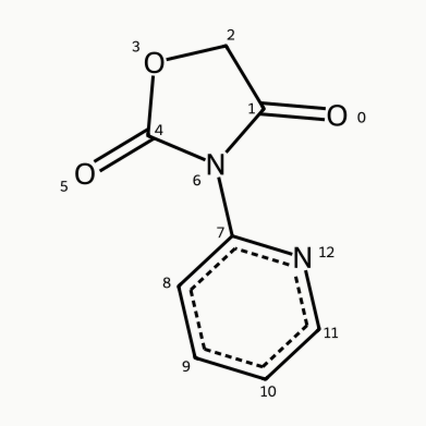 O=C1COC(=O)N1c1ccccn1